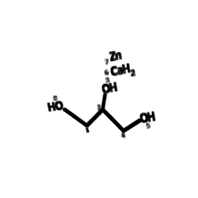 OCC(O)CO.[CaH2].[Zn]